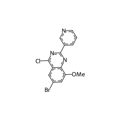 COc1cc(Br)cc2c(Cl)nc(-c3cccnc3)nc12